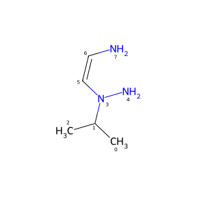 CC(C)N(N)/C=C\N